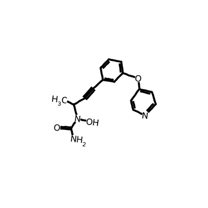 CC(C#Cc1cccc(Oc2ccncc2)c1)N(O)C(N)=O